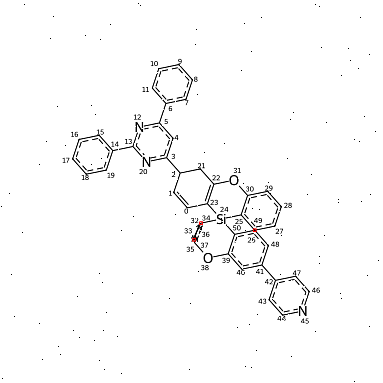 C1=CC(c2cc(-c3ccccc3)nc(-c3ccccc3)n2)CC2=C1[Si]1(c3ccccc3O2)c2ccccc2Oc2cc(-c3ccncc3)ccc21